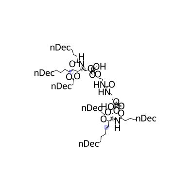 CCCCCCCCCCCCC/C=C/C(OC(=O)CCCCCCCCCCC)[C@H](COP(=O)(O)OCCNC(=O)NCCOP(=O)(O)OC[C@H](NC(=O)CCCCCCCCCCCCC)C(/C=C/CCCCCCCCCCCCC)OC(=O)CCCCCCCCCCC)NC(=O)CCCCCCCCCCCCC